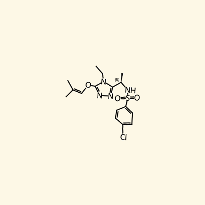 CCn1c(OC=C(C)C)nnc1[C@@H](C)NS(=O)(=O)c1ccc(Cl)cc1